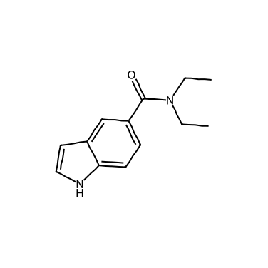 CCN(CC)C(=O)c1ccc2[nH]ccc2c1